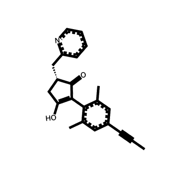 CC#Cc1cc(C)c(C2=C(O)C[C@H](Cc3ccccn3)C2=O)c(C)c1